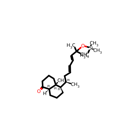 C[C@H](CC=CC=CC(C)(C)O[Si](C)(C)C)[C@H]1CCC[C@H]2C(=O)CCC[C@]12C